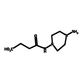 NN1CCN(NC(=O)CCC(=O)O)CC1